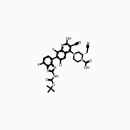 CC(C)(C)OC(=O)Nc1nc2c(-c3c(Cl)cc4c(N5CCN(C(=O)O)[C@@H](CC#N)C5)c(C#N)c(O)nc4c3F)ccc(F)c2s1